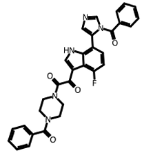 O=C(C(=O)N1CCN(C(=O)c2ccccc2)CC1)c1c[nH]c2c(-c3cncn3C(=O)c3ccccc3)ccc(F)c12